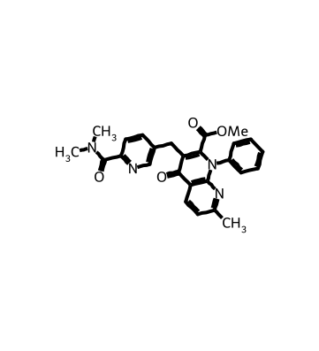 COC(=O)c1c(Cc2ccc(C(=O)N(C)C)nc2)c(=O)c2ccc(C)nc2n1-c1ccccc1